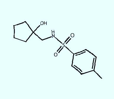 Cc1ccc(S(=O)(=O)NCC2(O)CCCC2)cc1